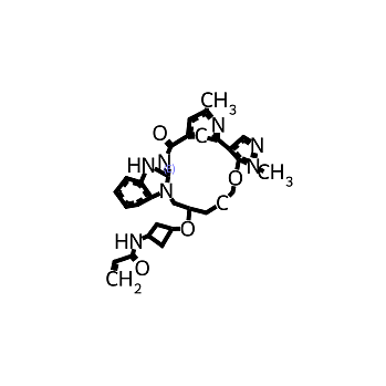 C=CC(=O)NC1CC(OC2CCCOc3c(cnn3C)-c3cc(cc(C)n3)C(=O)/N=C3\Nc4ccccc4N3C2)C1